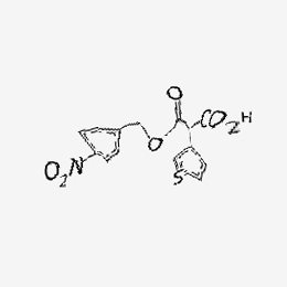 O=C(O)C(C(=O)OCc1ccc([N+](=O)[O-])cc1)c1ccsc1